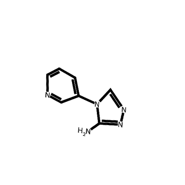 Nc1nncn1-c1cccnc1